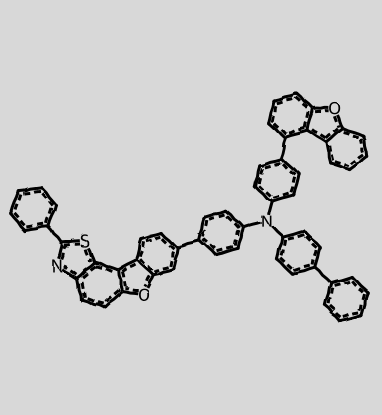 c1ccc(-c2ccc(N(c3ccc(-c4ccc5c(c4)oc4ccc6nc(-c7ccccc7)sc6c45)cc3)c3ccc(-c4cccc5oc6ccccc6c45)cc3)cc2)cc1